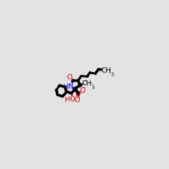 CCCCCCC1C(=O)NC2(C(O)C3CCCCC3)C(=O)OC12C